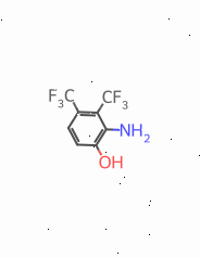 Nc1c(O)ccc(C(F)(F)F)c1C(F)(F)F